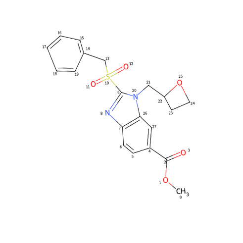 COC(=O)c1ccc2nc(S(=O)(=O)Cc3ccccc3)n(CC3CCO3)c2c1